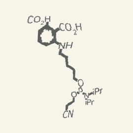 CC(C)N(C(C)C)P(OCCC#N)OCCCCCNc1cccc(C(=O)O)c1C(=O)O